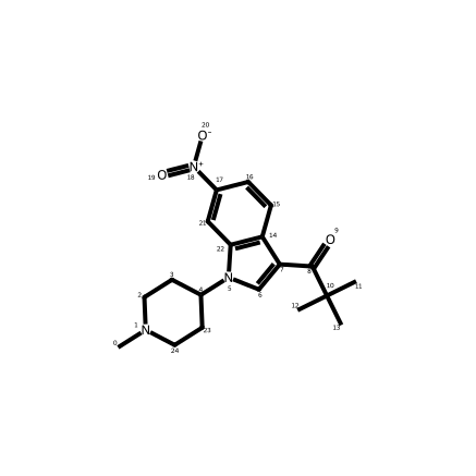 CN1CCC(n2cc(C(=O)C(C)(C)C)c3ccc([N+](=O)[O-])cc32)CC1